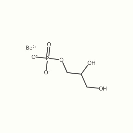 O=P([O-])([O-])OCC(O)CO.[Be+2]